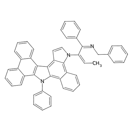 C/C=C(\C(=N/Cc1ccccc1)c1ccccc1)n1ccc2c3c4c5ccccc5c5ccccc5c4n(-c4ccccc4)c3c3ccccc3c21